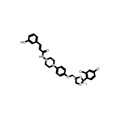 C[C@]1(c2ccc(Cl)cc2Cl)OC[C@@H](COc2ccc(N3CCN(NC(=O)/C=C/c4cccc(O)c4)CC3)cc2)O1